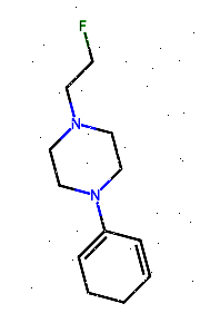 FCCN1CCN(C2=CCCC=C2)CC1